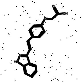 O=C(O)COc1ccc(C=Cc2n[nH]c3ccccc23)cc1